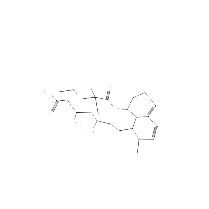 CCOC(C)(C)C(=O)OC1CCC=C2C=CC(C)C(CCC(O)CC(O)CC(=O)O)C21